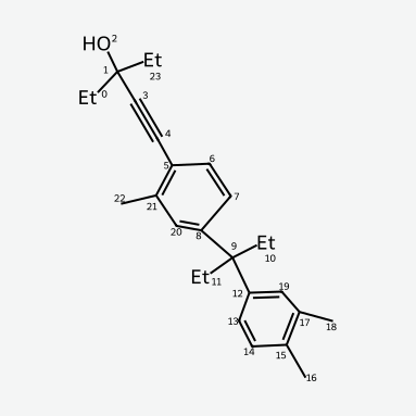 CCC(O)(C#Cc1ccc(C(CC)(CC)c2ccc(C)c(C)c2)cc1C)CC